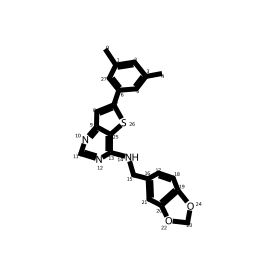 Cc1cc(C)cc(-c2cc3ncnc(NCc4ccc5c(c4)OCO5)c3s2)c1